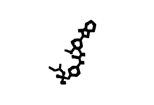 CCC(C)OP(=O)(O)Cc1ccc(NC(=S)Nc2cc(-c3cc4ccccc4[nH]3)ccc2OC)cc1